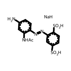 CC(=O)Nc1cc(N)ccc1N=Nc1cc(S(=O)(=O)O)ccc1S(=O)(=O)O.[NaH]